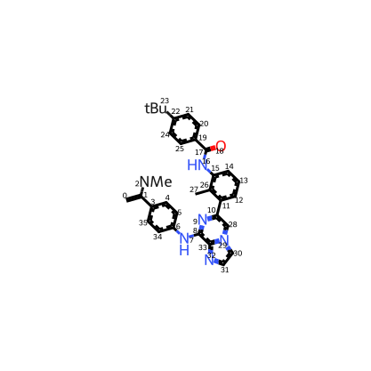 C=C(NC)c1ccc(Nc2nc(-c3cccc(NC(=O)c4ccc(C(C)(C)C)cc4)c3C)cn3ccnc23)cc1